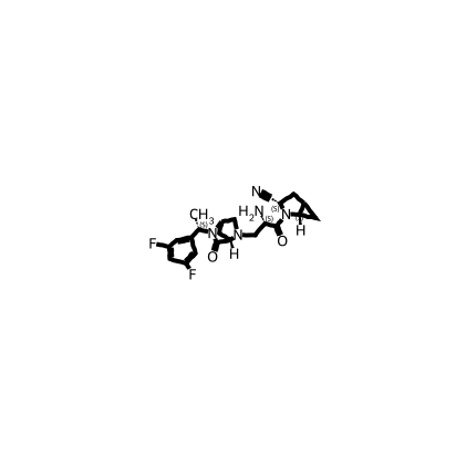 C[C@@H](c1cc(F)cc(F)c1)N1C(=O)[C@@H]2CC1CN2C[C@H](N)C(=O)N1[C@H](C#N)CC2C[C@@H]21